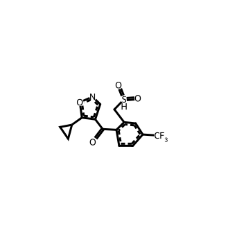 O=C(c1ccc(C(F)(F)F)cc1C[SH](=O)=O)c1cnoc1C1CC1